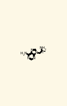 C[C@H](N)Cn1cnc2c(N)ncnc21